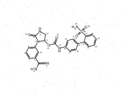 N=C(N)c1cccc(N2C(=O)NCC2OC(=O)Nc2ccc(-c3ccccc3S(N)(=O)=O)cc2)c1